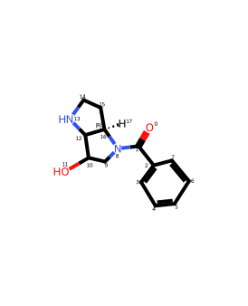 O=C(c1ccccc1)N1CC(O)C2NCC[C@H]21